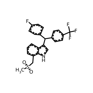 CS(=O)(=O)Cc1cccc2c(C(c3ccc(F)cc3)c3ccc(C(F)(F)F)cc3)c[nH]c12